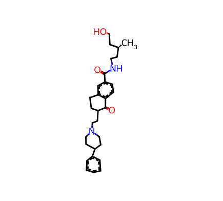 C[C@H](CCO)CCNC(=O)c1ccc2c(c1)CCC(CCN1CCC(c3ccccc3)CC1)C2=O